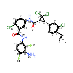 C=Cc1ccc([C@@H]2[C@@H](C(=O)Nc3ccc(Cl)c(C(=O)Nc4ccc(F)c(N)c4F)c3)C2(Cl)Cl)cc1Cl